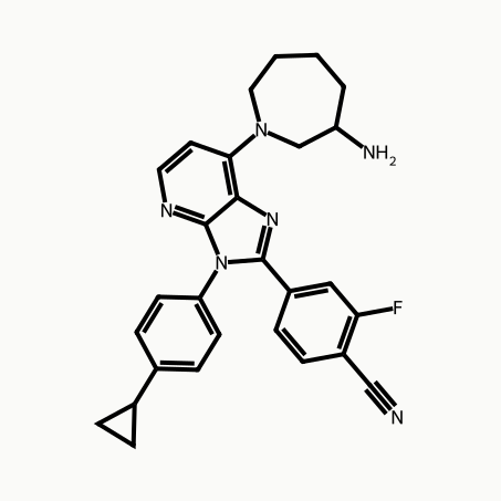 N#Cc1ccc(-c2nc3c(N4CCCCC(N)C4)ccnc3n2-c2ccc(C3CC3)cc2)cc1F